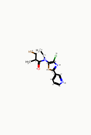 CCN(C(=O)C(C)CS)c1sc(-c2cccnc2)nc1Cl